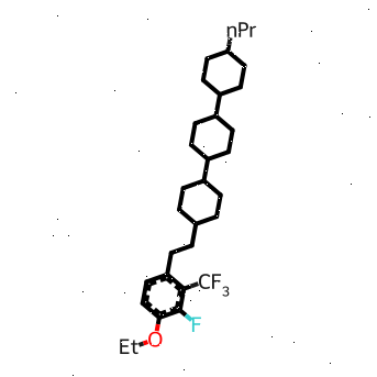 CCCC1CCC(C2CCC(C3CCC(CCc4ccc(OCC)c(F)c4C(F)(F)F)CC3)CC2)CC1